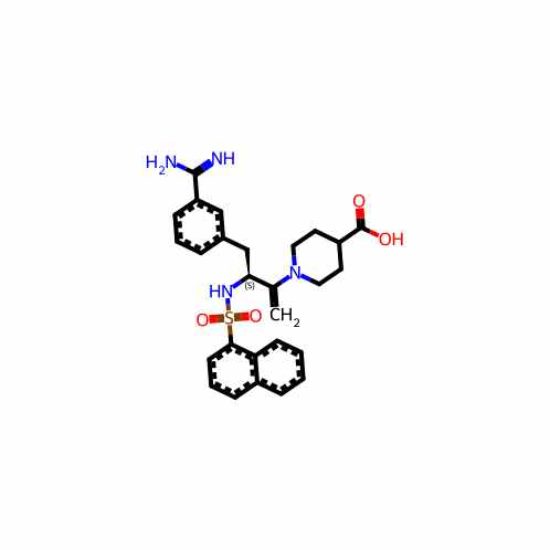 C=C([C@H](Cc1cccc(C(=N)N)c1)NS(=O)(=O)c1cccc2ccccc12)N1CCC(C(=O)O)CC1